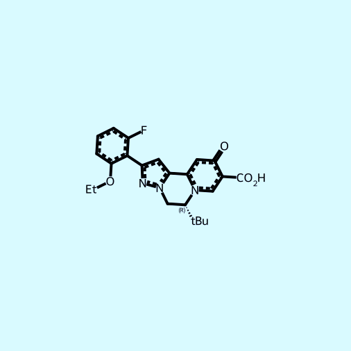 CCOc1cccc(F)c1-c1cc2n(n1)C[C@@H](C(C)(C)C)n1cc(C(=O)O)c(=O)cc1-2